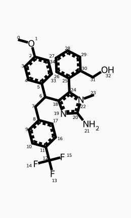 COc1ccc(C(Cc2ccc(C(F)(F)F)cc2)c2nc(N)n(C)c2-c2ccccc2CO)cc1